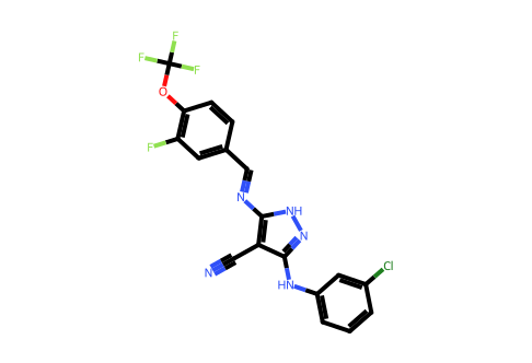 N#Cc1c(Nc2cccc(Cl)c2)n[nH]c1/N=C/c1ccc(OC(F)(F)F)c(F)c1